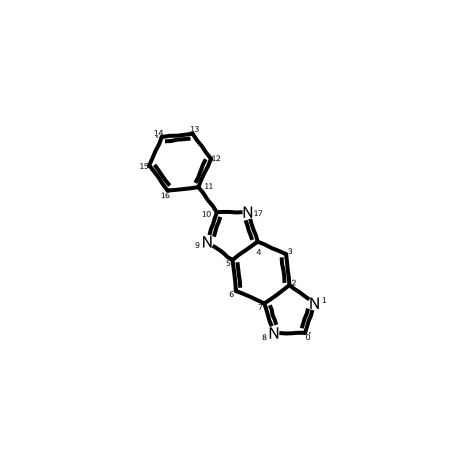 [C]1=Nc2cc3c(cc2=N1)N=C(c1cc[c]cc1)N=3